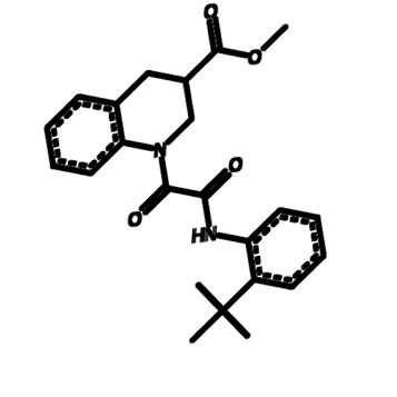 COC(=O)C1Cc2ccccc2N(C(=O)C(=O)Nc2ccccc2C(C)(C)C)C1